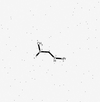 CCCPCB(C)I